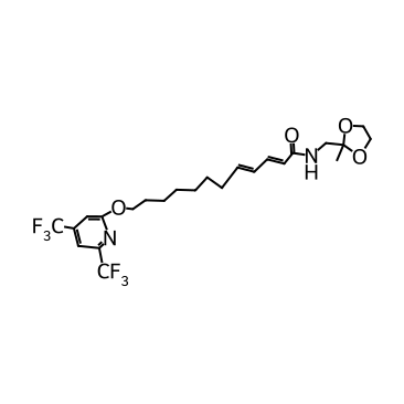 CC1(CNC(=O)C=CC=CCCCCCCCOc2cc(C(F)(F)F)cc(C(F)(F)F)n2)OCCO1